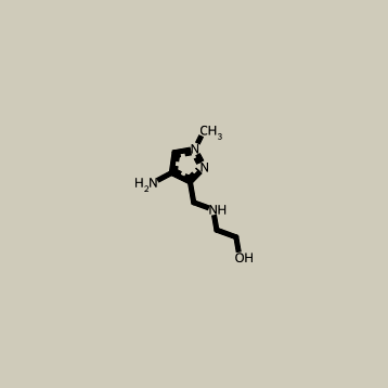 Cn1cc(N)c(CNCCO)n1